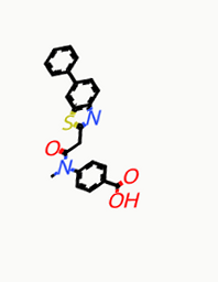 CN(C(=O)Cc1nc2ccc(-c3ccccc3)cc2s1)c1ccc(C(=O)O)cc1